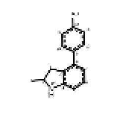 CC1Cc2c(cccc2-c2ccc(F)cc2)N1